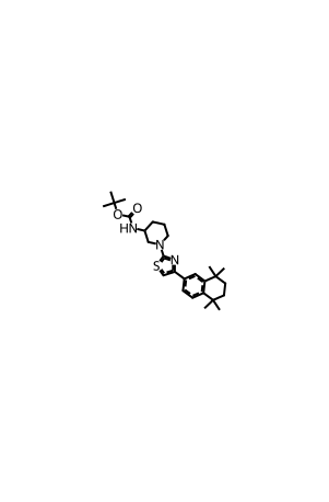 CC(C)(C)OC(=O)NC1CCCN(c2nc(-c3ccc4c(c3)C(C)(C)CCC4(C)C)cs2)C1